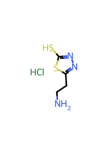 Cl.NCCc1nnc(S)s1